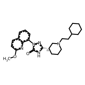 COc1ccc2cccc(-n3nc([C@H]4CCCN(CCC5CCCCC5)C4)[nH]c3=O)c2n1